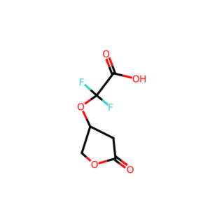 O=C1CC(OC(F)(F)C(=O)O)CO1